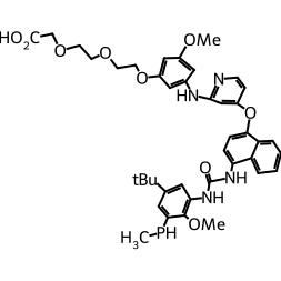 COc1cc(Nc2cc(Oc3ccc(NC(=O)Nc4cc(C(C)(C)C)cc(PC)c4OC)c4ccccc34)ccn2)cc(OCCOCCOCC(=O)O)c1